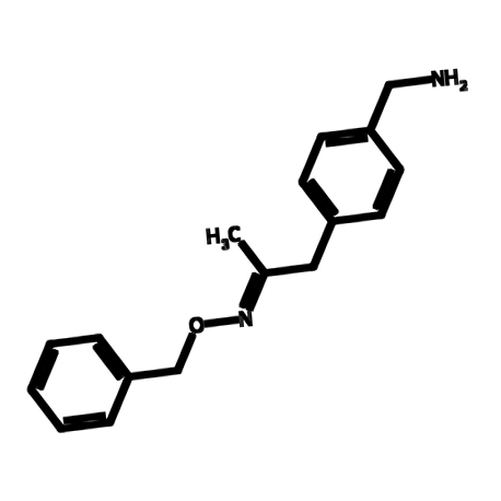 C/C(Cc1ccc(CN)cc1)=N\OCc1ccccc1